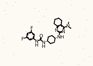 CN(C)c1nc(N[C@H]2CC[C@@H](NC(=O)Nc3cc(F)cc(F)c3)CC2)nc2c1CCCC2